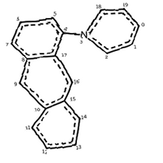 c1cc[n+](-c2cccc3cc4ccccc4cc23)cc1